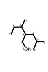 CCC(C)C(CO)CC(C)C